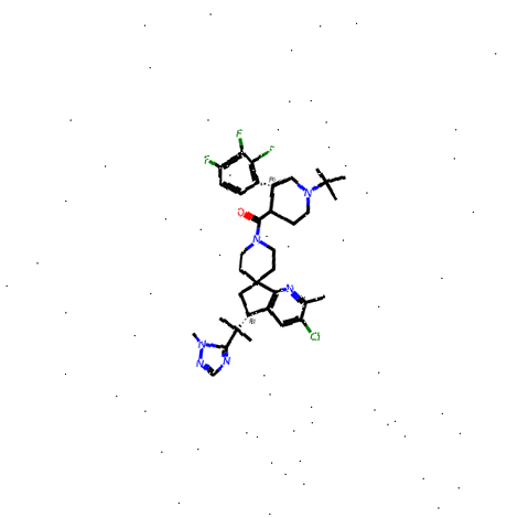 Cc1nc2c(cc1Cl)[C@H](C(C)(C)c1ncnn1C)CC21CCN(C(=O)C2CCN(C(C)(C)C)C[C@H]2c2ccc(F)c(F)c2F)CC1